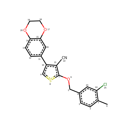 Cc1ccc(COc2scc(-c3ccc4c(c3)OCCO4)c2C#N)cc1Cl